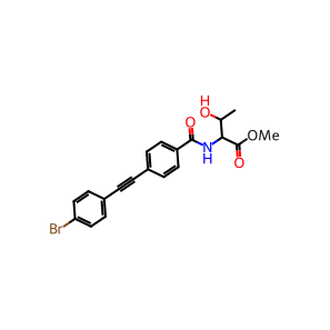 COC(=O)C(NC(=O)c1ccc(C#Cc2ccc(Br)cc2)cc1)C(C)O